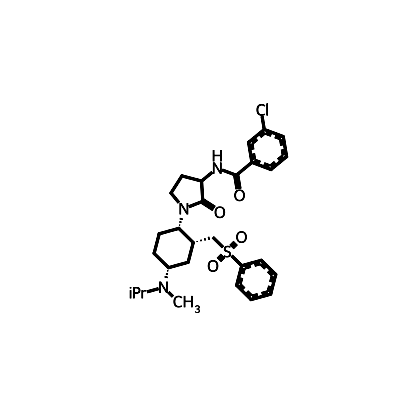 CC(C)N(C)[C@@H]1CC[C@H](N2CCC(NC(=O)c3cccc(Cl)c3)C2=O)[C@H](CS(=O)(=O)c2ccccc2)C1